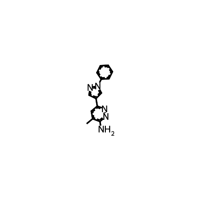 Cc1cc(-c2cnn(-c3ccccc3)c2)nnc1N